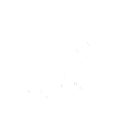 CN(C)CCCOc1ccc(NC(=O)Nc2ccccc2)cc1-c1ccnn1C